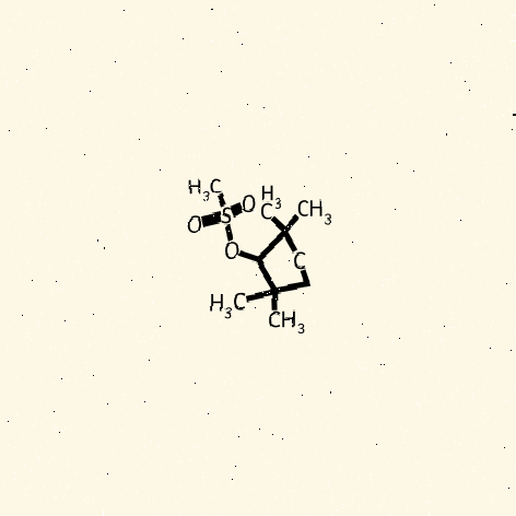 CC1(C)CCC(C)(C)C1OS(C)(=O)=O